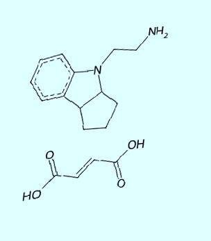 NCCN1c2ccccc2C2CCCC21.O=C(O)C=CC(=O)O